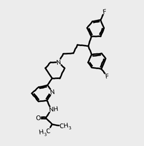 CC(C)C(=O)Nc1cccc(C2CCN(CCCC(c3ccc(F)cc3)c3ccc(F)cc3)CC2)n1